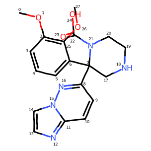 COc1cccc(C2(c3ccc4nccn4n3)CNCCN2C(=O)O)c1OC